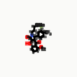 CCOc1ccccc1C(=O)C1=C(O)C(=O)N(CCCOC)C1c1ccc(C(F)(F)F)c(F)c1